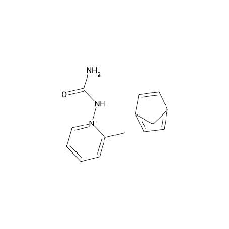 C1=CC2=CC=C1C2.Cc1cccc[n+]1NC(N)=O